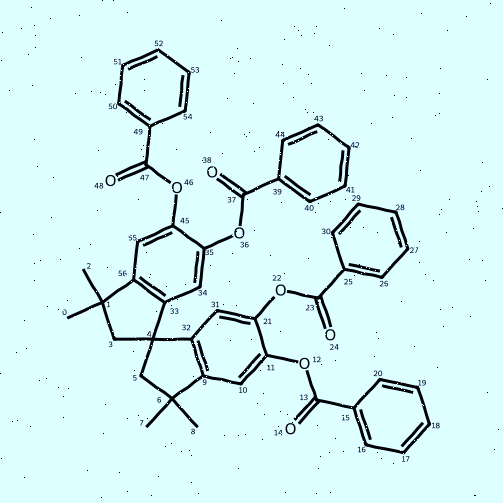 CC1(C)CC2(CC(C)(C)c3cc(OC(=O)c4ccccc4)c(OC(=O)c4ccccc4)cc32)c2cc(OC(=O)c3ccccc3)c(OC(=O)c3ccccc3)cc21